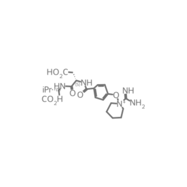 CC(C)[C@H](NC(=O)[C@H](CC(=O)O)NC(=O)c1ccc(O[N+]2(C(=N)N)CCCCC2)cc1)C(=O)O